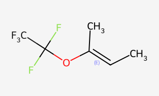 C/C=C(\C)OC(F)(F)C(F)(F)F